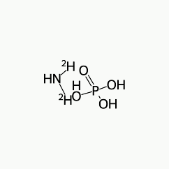 O=P(O)(O)O.[2H]N[2H]